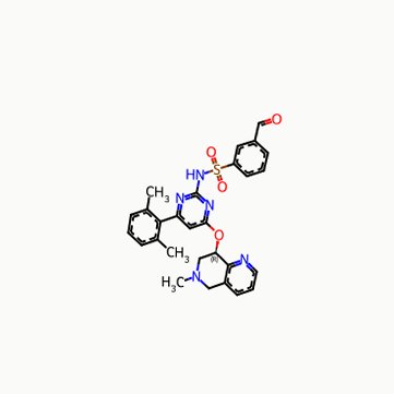 Cc1cccc(C)c1-c1cc(O[C@@H]2CN(C)Cc3cccnc32)nc(NS(=O)(=O)c2cccc(C=O)c2)n1